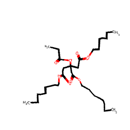 CCCCCCOC(=O)CC(CC(=O)OCCCCCC)(OC(=O)CC)C(=O)OCCCCCC